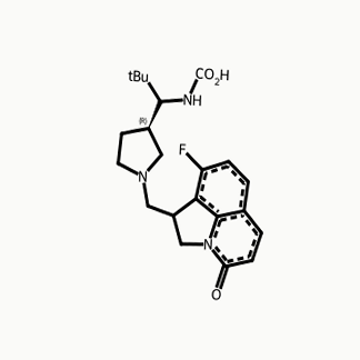 CC(C)(C)C(NC(=O)O)[C@@H]1CCN(CC2Cn3c(=O)ccc4ccc(F)c2c43)C1